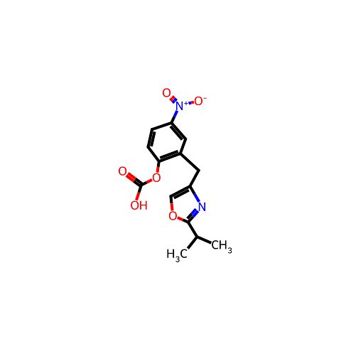 CC(C)c1nc(Cc2cc([N+](=O)[O-])ccc2OC(=O)O)co1